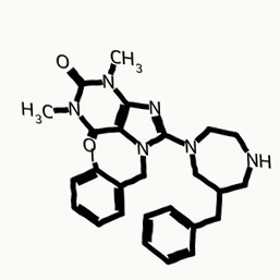 Cn1c(=O)c2c(nc(N3CCNCC(Cc4ccccc4)C3)n2Cc2ccccc2I)n(C)c1=O